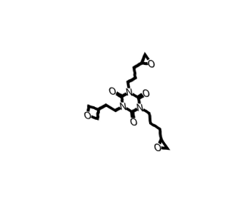 O=c1n(CCCC2CO2)c(=O)n(CCC2COC2)c(=O)n1CCCC1CO1